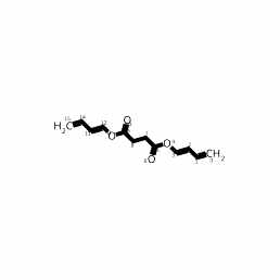 C=CC=COC(=O)CCC(=O)OC=CC=C